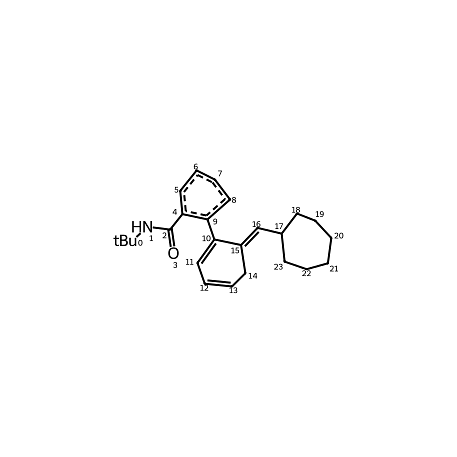 CC(C)(C)NC(=O)c1ccccc1C1=CC=CCC1=CC1CCCCCC1